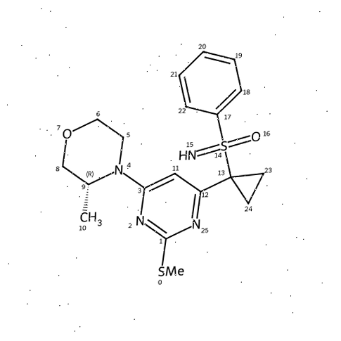 CSc1nc(N2CCOC[C@H]2C)cc(C2(S(=N)(=O)c3ccccc3)CC2)n1